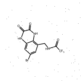 O=C(NCc1cc(Br)cc2[nH]c(=O)c(=O)[nH]c12)C(F)(F)F